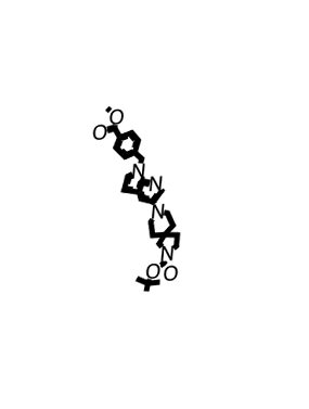 COC(=O)c1ccc(Cn2ccc3cc(N4CCC5(CCN(C(=O)OC(C)(C)C)C5)CC4)cnc32)cc1